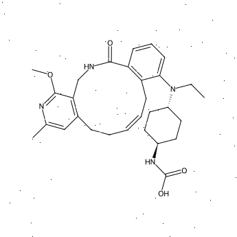 CCN(c1cccc2c1CC=CCCc1cc(C)nc(OC)c1CNC2=O)[C@H]1CC[C@H](NC(=O)O)CC1